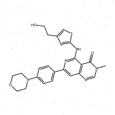 Cn1cnc2cc(-c3ccc(N4CCOCC4)cc3)nc(Nc3nc(CCO)cs3)c2c1=O